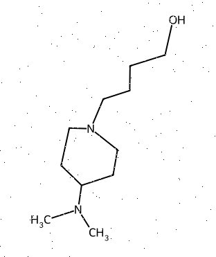 CN(C)C1CCN(CCCCO)CC1